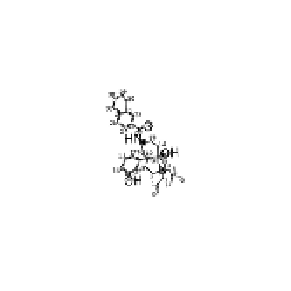 C=CC[N@@+]1(CC(C)C)CC[C@]2(c3cccc(O)c3)C[C@@H](NC(=O)c3ccc4ccccc4c3)CCC2(O)C1